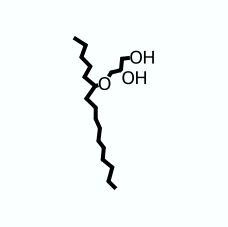 CCCCCCCCCCC(CCCCC)OCC(O)CO